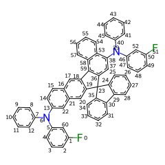 Fc1cccc(N(c2ccccc2)c2ccc3cc4c(cc3c2)C2(c3ccccc3-c3ccccc32)c2cc(N(c3ccccc3)c3cccc(F)c3)c3ccccc3c2-4)c1